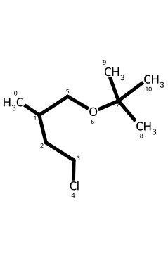 CC(CCCl)COC(C)(C)C